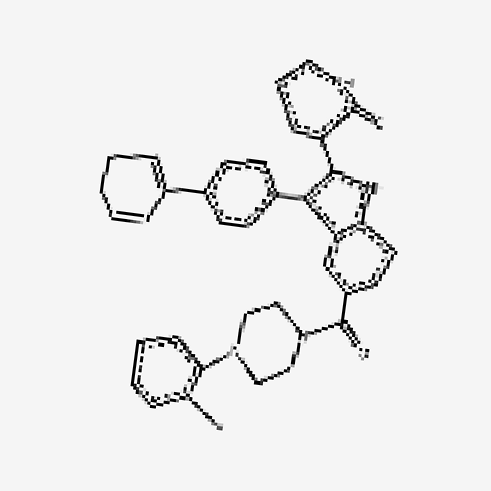 O=C(c1ccc2[nH]c(-c3ccc[nH]c3=O)c(-c3ccc(C4=CCCC=C4)cc3)c2c1)N1CCN(c2ccccc2F)CC1